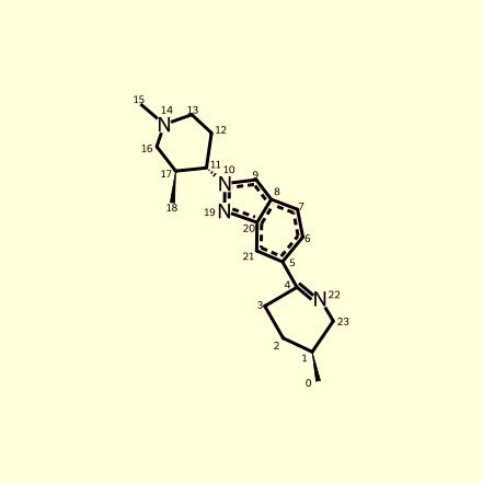 C[C@H]1CCC(c2ccc3cn([C@H]4CCN(C)C[C@@H]4C)nc3c2)=NC1